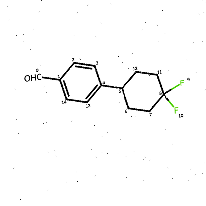 O=Cc1ccc(C2CCC(F)(F)CC2)cc1